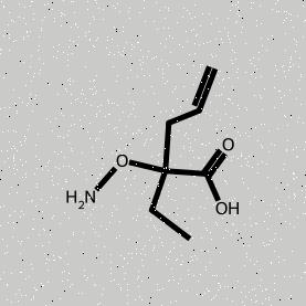 C=CCC(CC)(ON)C(=O)O